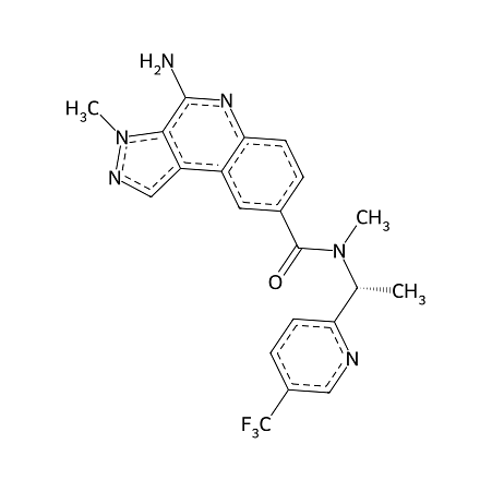 C[C@H](c1ccc(C(F)(F)F)cn1)N(C)C(=O)c1ccc2nc(N)c3c(cnn3C)c2c1